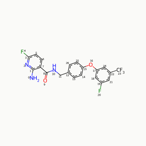 Nc1nc(F)ccc1C(=O)NCc1ccc(Oc2cc(F)cc(C(F)(F)F)c2)cc1